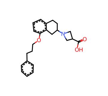 O=C(O)C1CN(C2CCc3cccc(OCCCc4ccccc4)c3C2)C1